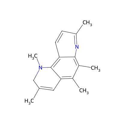 CC1=Cc2c(C)c(C)c3nc(C)ccc3c2N(C)C1